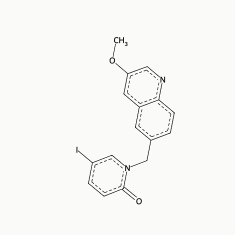 COc1cnc2ccc(Cn3cc(I)ccc3=O)cc2c1